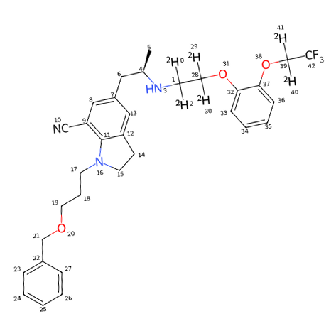 [2H]C([2H])(N[C@H](C)Cc1cc(C#N)c2c(c1)CCN2CCCOCc1ccccc1)C([2H])([2H])Oc1ccccc1OC([2H])([2H])C(F)(F)F